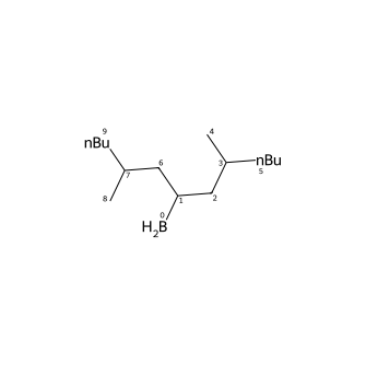 BC(CC(C)CCCC)CC(C)CCCC